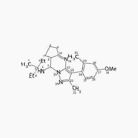 CCC(C)(CC)NC1C2CCCC2=Nc2c(-c3ccc(OC)cc3C)c(C)nn21